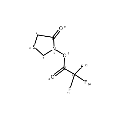 O=C1CSCN1OC(=O)C(F)(F)F